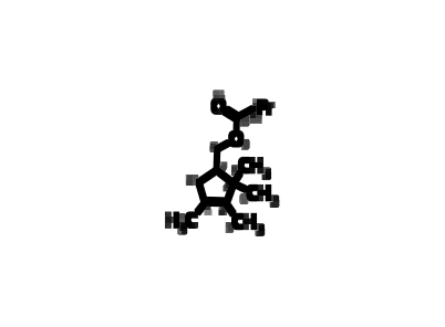 CC1=C(C)C(C)(C)C(COC(=O)C(C)C)C1